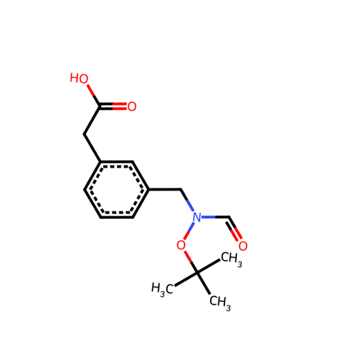 CC(C)(C)ON(C=O)Cc1cccc(CC(=O)O)c1